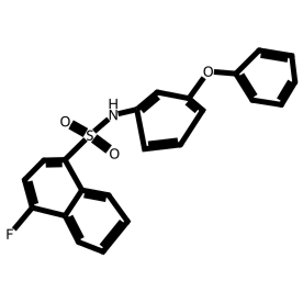 O=S(=O)(Nc1cccc(Oc2ccccc2)c1)c1ccc(F)c2ccccc12